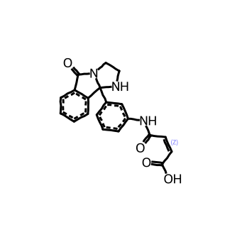 O=C(O)/C=C\C(=O)Nc1cccc(C23NCCN2C(=O)c2ccccc23)c1